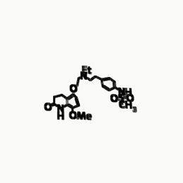 CCN(CCOc1ccc(OC)c2c1CCC(=O)N2)CCc1ccc(NS(C)(=O)=O)cc1